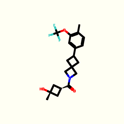 Cc1ccc(C2CC3(C2)CN(C(=O)[C@H]2C[C@@](C)(O)C2)C3)cc1OC(F)(F)F